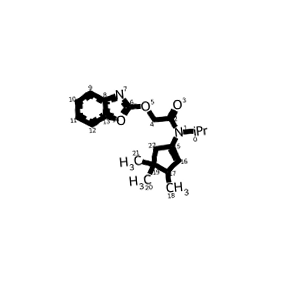 CC(C)N(C(=O)COc1nc2ccccc2o1)C1=CC(C)C(C)(C)C1